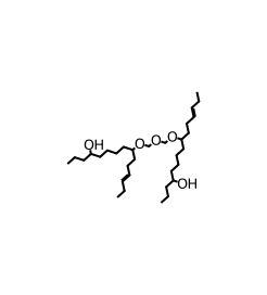 CCC=CCCC(CCCCC(O)CCC)OCOCOC(CCC=CCC)CCCCC(O)CCC